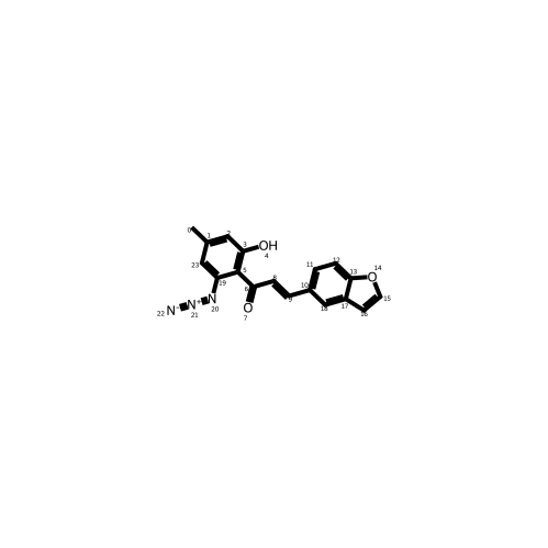 Cc1cc(O)c(C(=O)C=Cc2ccc3occc3c2)c(N=[N+]=[N-])c1